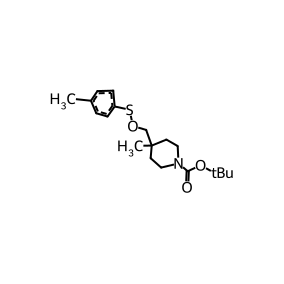 Cc1ccc(SOCC2(C)CCN(C(=O)OC(C)(C)C)CC2)cc1